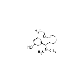 CCOC1CCCCC1C(c1cccc(O)c1)N(C)C